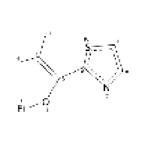 CCOC(=C(C)C)c1nccs1